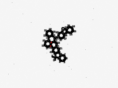 CC1(C)c2ccccc2-c2cc3cc(N(c4ccc5c(c4)oc4ccccc45)c4ccccc4-c4ccccc4)ccc3cc21